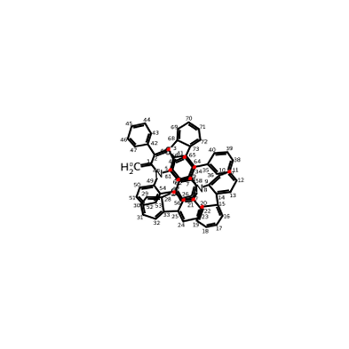 C=C(/C(=C\c1ccc(N(c2ccccc2-c2ccccc2)c2cccc3c2sc2ccccc23)c(-c2ccccc2)c1)c1ccccc1)N(c1ccccc1C1=C=C=CC=C1)c1cccc2c1sc1ccccc12